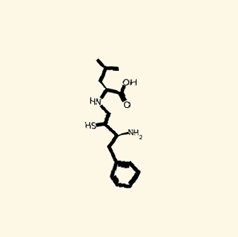 CC(C)C[C@H](NCC(S)[C@@H](N)Cc1ccccc1)C(=O)O